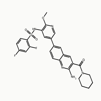 COc1ncc(-c2ccc3nc(N)c(C(=O)N4CCCCC4)cc3c2)cc1NS(=O)(=O)c1ccc(F)cc1F